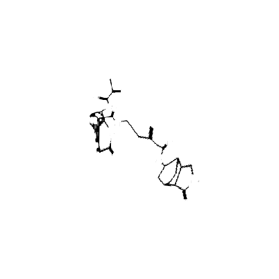 C=C(C)C(=O)Oc1c2c3oc1c(C(=O)OCCC(=C)C(=O)OC1CC4CCC1C1COC(=O)C41)c3C(=O)O2